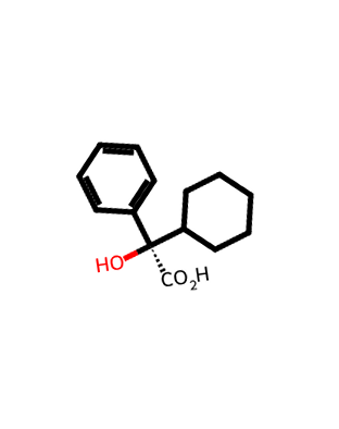 O=C(O)[C@](O)(c1ccccc1)C1CCCCC1